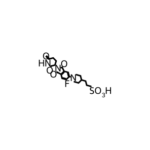 O=C1CCC(N2C(=O)c3cc(F)c(N4CCC(CCCS(=O)(=O)O)CC4)cc3C2=O)C(=O)N1